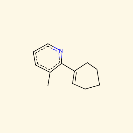 Cc1cccnc1C1=CCCCC1